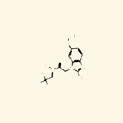 COc1ccc2nc(Cl)n(CC(=O)N(C)CC(F)(F)F)c2c1